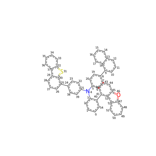 c1ccc(N(c2ccc(-c3cccc4ccccc34)cc2)c2ccc(-c3cccc4c3sc3ccccc34)cc2)c(-c2cccc3oc4ccccc4c23)c1